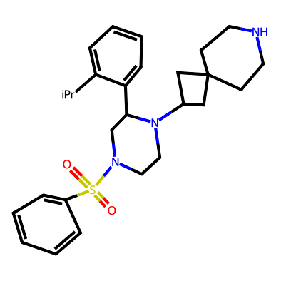 CC(C)c1ccccc1C1CN(S(=O)(=O)c2ccccc2)CCN1C1CC2(CCNCC2)C1